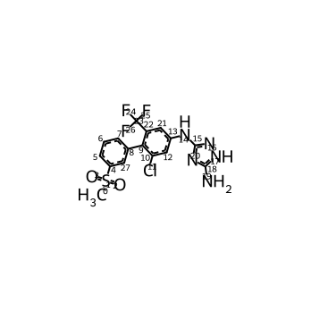 CS(=O)(=O)c1cccc(-c2c(Cl)cc(Nc3n[nH]c(N)n3)cc2C(F)(F)F)c1